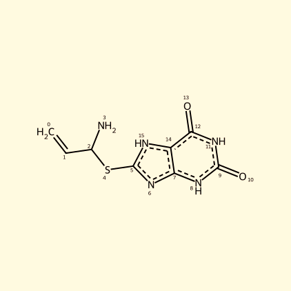 C=CC(N)Sc1nc2[nH]c(=O)[nH]c(=O)c2[nH]1